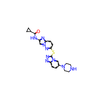 O=C(Nc1cn2nc(Sc3nnc4ccc(N5CCNCC5)cn34)ccc2n1)C1CC1